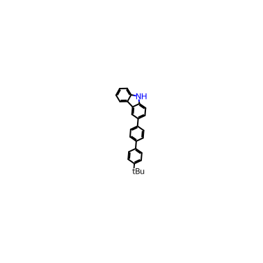 CC(C)(C)c1ccc(-c2ccc(-c3ccc4[nH]c5ccccc5c4c3)cc2)cc1